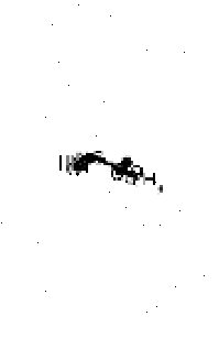 CC(=O)OCCN(C(=O)CCCCCCOc1ccc2c(c1)CN1CC(=O)NC1=N2)C1CCCCC1